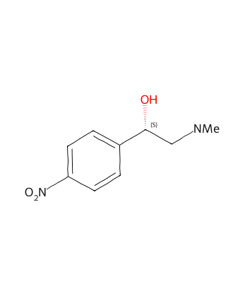 CNC[C@@H](O)c1ccc([N+](=O)[O-])cc1